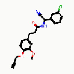 C#CCOc1ccc(CCC(=O)NC(C#N)c2cccc(Cl)c2)cc1OC